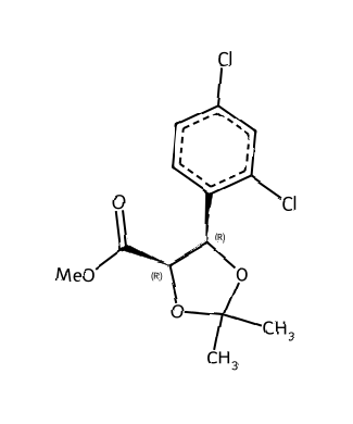 COC(=O)[C@@H]1OC(C)(C)O[C@@H]1c1ccc(Cl)cc1Cl